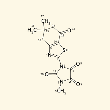 CN1C(=O)C(=O)N(c2nc3c(s2)C(=O)CC(C)(C)C3)C1=O